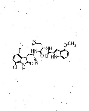 COc1cccc2[nH]c(C(=O)N[C@@H](CC3CC3)C(=O)N[C@H](C#N)C[C@H]3C(=O)Nc4c(Cl)ccc(F)c43)cc12